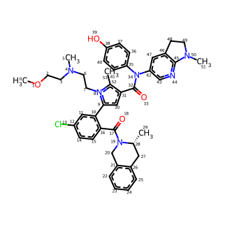 COCCN(C)CCn1c(-c2cc(Cl)ccc2C(=O)N2Cc3ccccc3C[C@H]2C)cc(C(=O)N(c2ccc(O)cc2)c2cnc3c(c2)CCN3C)c1C